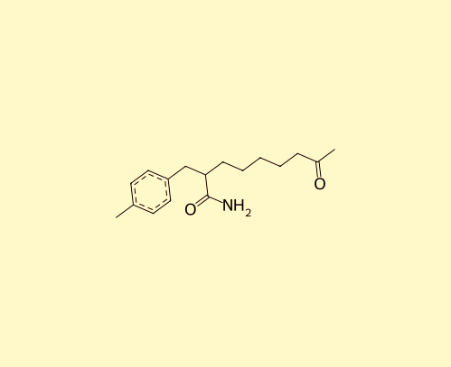 CC(=O)CCCCCC(Cc1ccc(C)cc1)C(N)=O